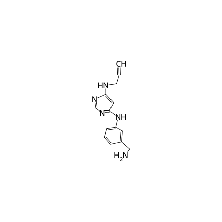 C#CCNc1cc(Nc2cccc(CN)c2)ncn1